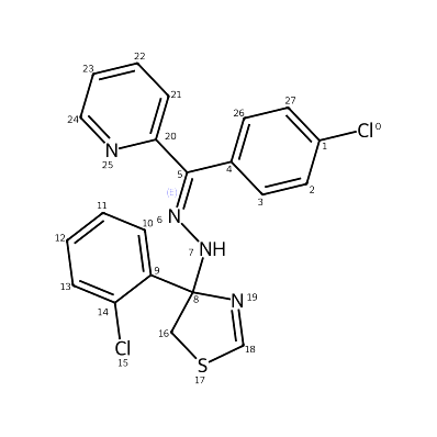 Clc1ccc(/C(=N\NC2(c3ccccc3Cl)CSC=N2)c2ccccn2)cc1